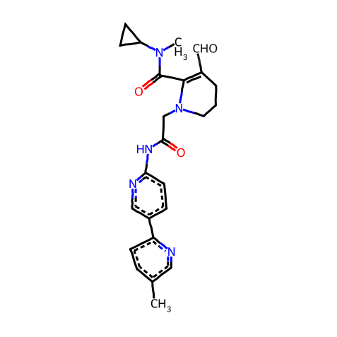 Cc1ccc(-c2ccc(NC(=O)CN3CCCC(C=O)=C3C(=O)N(C)C3CC3)nc2)nc1